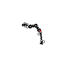 C=C(C)C(=O)OCCCCCC(=O)Oc1ccc(C(C)(C)c2cccc(C(C)(C)c3ccc(OC(=O)OC(=O)C(=C)C)cc3)c2)cc1